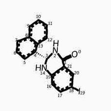 O=C1N[C@@H](c2cccc3ccccc23)Nc2ccc(I)cc21